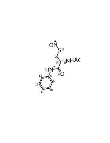 CC(=O)N[C@@H](CSN=O)C(=O)Nc1ccccc1